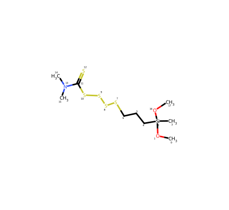 CO[Si](C)(CCCSSSSC(=S)N(C)C)OC